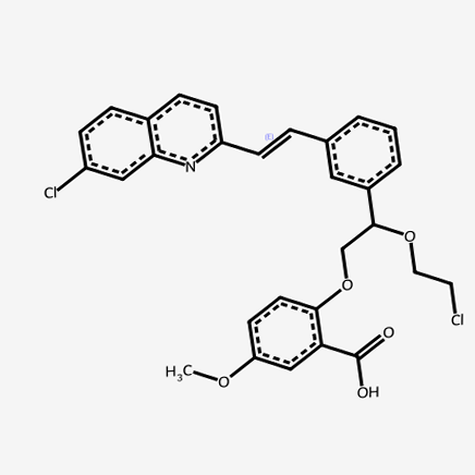 COc1ccc(OCC(OCCCl)c2cccc(/C=C/c3ccc4ccc(Cl)cc4n3)c2)c(C(=O)O)c1